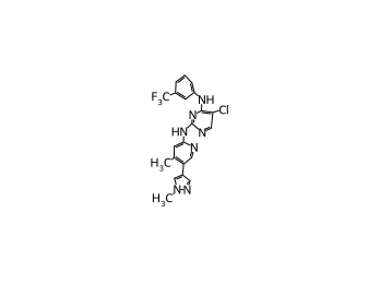 Cc1cc(Nc2ncc(Cl)c(Nc3cccc(C(F)(F)F)c3)n2)ncc1-c1cnn(C)c1